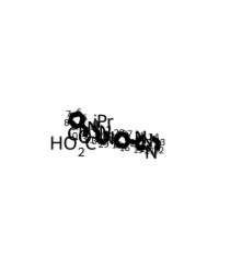 CC(C)N(C(=O)c1ccccc1Cl)c1nn(-c2ccc(-c3cc4ncccn4n3)cc2)cc1C(=O)O